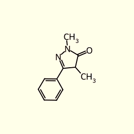 CC1C(=O)N(C)N=C1c1ccccc1